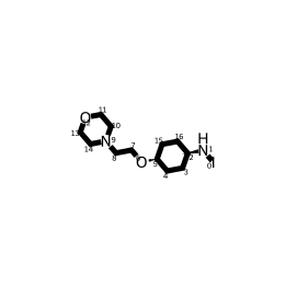 IN[C@H]1CC[C@H](OCCN2CCOCC2)CC1